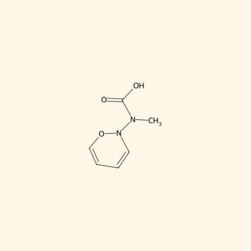 CN(C(=O)O)N1C=CC=CO1